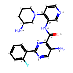 Nc1cnc(-c2ccccc2F)nc1C(=O)Nc1cnccc1N1CCC[C@H](N)C1